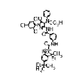 CCC(C)(C)c1ccc(OCC(=O)Nc2cccc(C(=O)NC3=NN(c4c(Cl)cc(Cl)cc4Cl)C(=O)C3N(C(=O)O)c3ccccc3)c2)c(C(C)(C)CC)c1